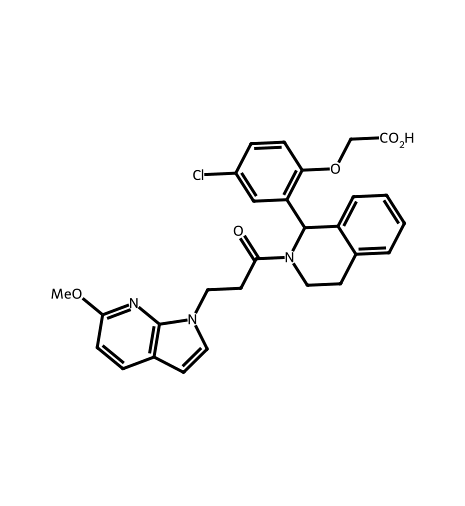 COc1ccc2ccn(CCC(=O)N3CCc4ccccc4C3c3cc(Cl)ccc3OCC(=O)O)c2n1